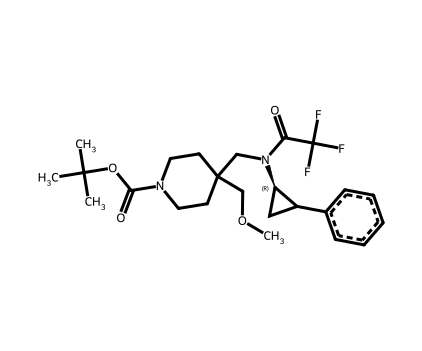 COCC1(CN(C(=O)C(F)(F)F)[C@@H]2CC2c2ccccc2)CCN(C(=O)OC(C)(C)C)CC1